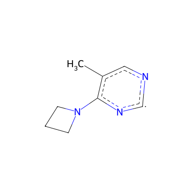 Cc1cn[c]nc1N1CCC1